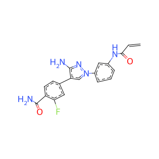 C=CC(=O)Nc1cccc(-n2cc(-c3ccc(C(N)=O)c(F)c3)c(N)n2)c1